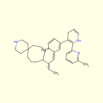 C=c1ccc(C2=C(c3cccc(C)n3)NC=CC2)c/c1=C/C(=C\C)C1CCCC2(CCC1)CCNCC2